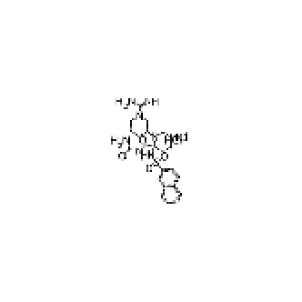 CN(C(N)=O)C(=O)C1(NS(=O)(=O)c2ccc3ccccc3c2)CCCCN1C1CCCN(C(=N)N)C1.Cl.Cl